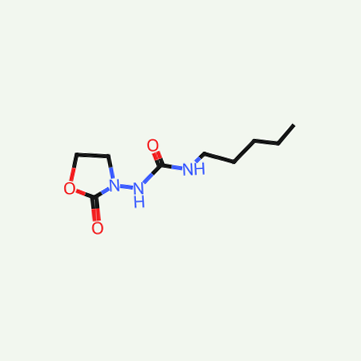 CCCCCNC(=O)NN1CCOC1=O